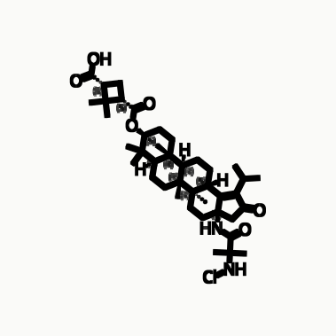 CC(C)C1=C2[C@H]3CC[C@@H]4[C@@]5(C)CC[C@H](OC(=O)[C@H]6C[C@@H](C(=O)O)C6(C)C)C(C)(C)[C@@H]5CC[C@@]4(C)[C@]3(C)CC[C@@]2(NC(=O)C(C)(C)NCl)CC1=O